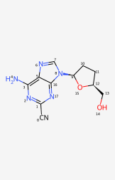 N#Cc1nc(N)c2ncn([C@H]3CC[C@@H](CO)O3)c2n1